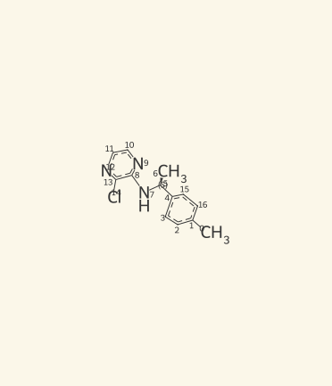 Cc1ccc([C@H](C)Nc2nccnc2Cl)cc1